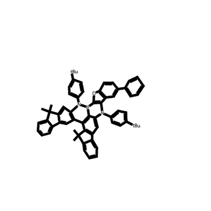 CC(C)(C)c1ccc(N2B3c4oc5ccc(-c6ccccc6)cc5c4N(c4ccc(C(C)(C)C)cc4)c4cc5c(c(c43)-c3cc4c(cc32)C(C)(C)c2ccccc2-4)C(C)(C)c2ccccc2-5)cc1